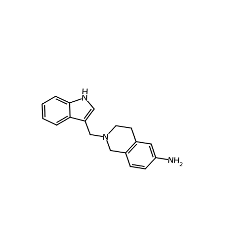 Nc1ccc2c(c1)CCN(Cc1c[nH]c3ccccc13)C2